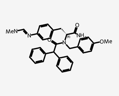 CNC=Nc1ccc(C[C@H](C(N)=O)N(Cc2ccc(OC)cc2)C(=O)C(c2ccccc2)c2ccccc2)cc1